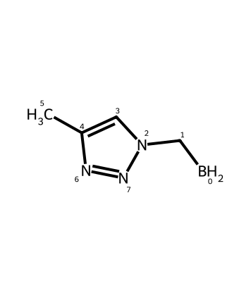 BCn1cc(C)nn1